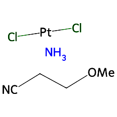 COCCC#N.N.[Cl][Pt][Cl]